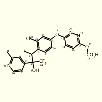 Cc1cc(C(O)(C(C)c2ccc(Oc3ccc(OC(=O)O)nn3)cc2Cl)C(F)(F)F)ccn1